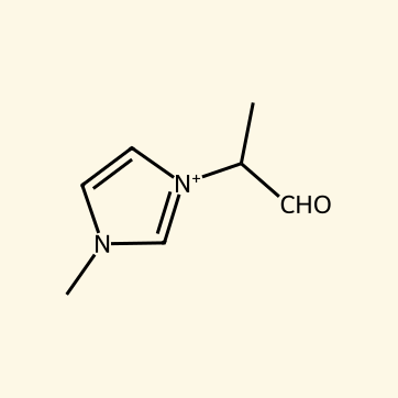 CC(C=O)[n+]1ccn(C)c1